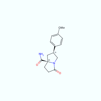 COc1ccc([C@H]2CN3C(=O)CC[C@]3(C(N)=O)C2)cc1